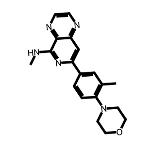 CNc1nc(-c2ccc(N3CCOCC3)c(C)c2)cc2nccnc12